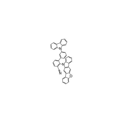 N#Cc1cccc(-c2cccc(-n3c4ccccc4c4ccccc43)c2)c1-n1c2ccccc2c2cc3oc4ccccc4c3cc21